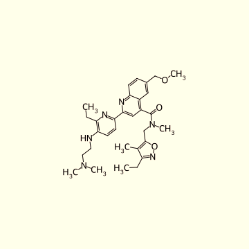 CCc1nc(-c2cc(C(=O)N(C)Cc3onc(CC)c3C)c3cc(COC)ccc3n2)ccc1NCCN(C)C